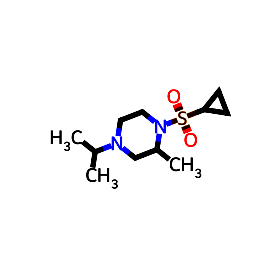 CC(C)N1CCN(S(=O)(=O)C2CC2)C(C)C1